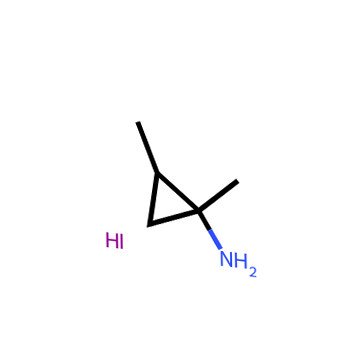 CC1CC1(C)N.I